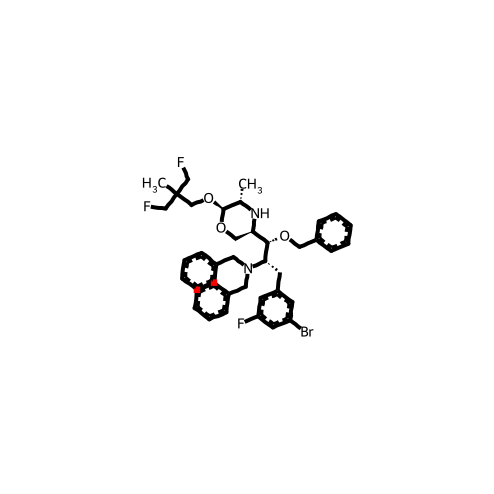 C[C@@H]1N[C@@H]([C@H](OCc2ccccc2)[C@H](Cc2cc(F)cc(Br)c2)N(Cc2ccccc2)Cc2ccccc2)CO[C@H]1OCC(C)(CF)CF